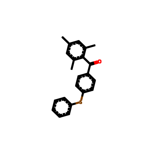 Cc1cc(C)c(C(=O)c2ccc(Sc3ccccc3)cc2)c(C)c1